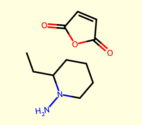 CCC1CCCCN1N.O=C1C=CC(=O)O1